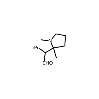 CC(C)C(C=O)C1(C)CCCN1C